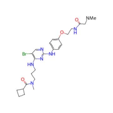 CNCC(=O)NCCOc1ccc(Nc2ncc(Br)c(NCCCN(C)C(=O)C3CCC3)n2)cc1